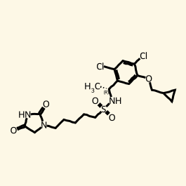 C[C@@H](NS(=O)(=O)CCCCCN1CC(=O)NC1=O)c1cc(OCC2CC2)c(Cl)cc1Cl